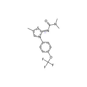 Cc1cn(-c2ccc(OC(F)(F)F)cc2)/c(=N/C(=O)N(C)C)s1